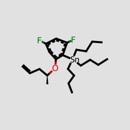 C=CC[C@H](C)Oc1cc(F)cc(F)[c]1[Sn]([CH2]CCC)([CH2]CCC)[CH2]CCC